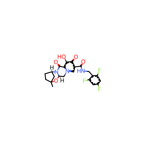 CC12CC[C@H](C1)N1C(=O)c3c(O)c(=O)c(C(=O)NCc4c(F)cc(F)cc4F)cn3C[C@H]1O2